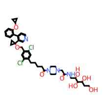 O=C(CN1CCN(C(=O)CCCCc2cc(Cl)c(COC3(c4cnccc4-c4ccccc4OC4CC4)CC3)cc2Cl)CC1)NCC(O)C(O)C(O)CCO